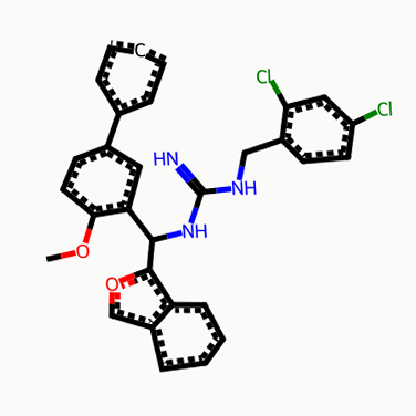 COc1ccc(-c2ccccc2)cc1C(NC(=N)NCc1ccc(Cl)cc1Cl)c1occ2ccccc12